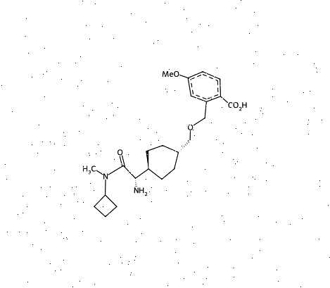 COc1ccc(C(=O)O)c(COC[C@H]2CC[C@H]([C@H](N)C(=O)N(C)C3CCC3)CC2)c1